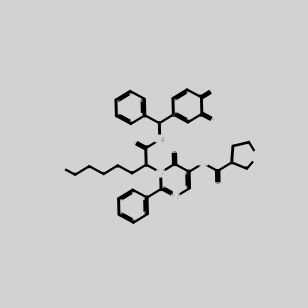 CCCCCCC(C(=O)NC(C1=CC(=O)C(=O)C=C1)c1ccccc1)n1c(-c2ccccc2)ncc(NC(=O)C2CCOC2)c1=O